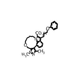 Cc1nn(C)c2c1-c1cccc3c(CCCOc4ccccc4)c(C(=O)O)n(c13)CCCCOC2